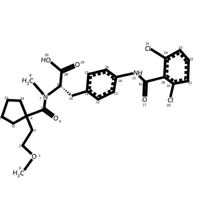 COCCC1(C(=O)N(C)[C@@H](Cc2ccc(NC(=O)c3c(Cl)cccc3Cl)cc2)C(=O)O)CCCC1